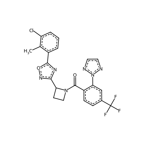 Cc1c(Cl)cccc1-c1nc(C2CCN2C(=O)c2ccc(C(F)(F)F)cc2-n2nccn2)no1